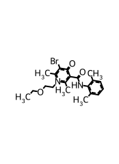 CCOCCn1c(C)c(Br)c(=O)c(C(=O)Nc2c(C)cccc2C)c1C